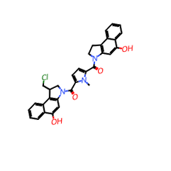 Cn1c(C(=O)N2CCc3c2cc(O)c2ccccc32)ccc1C(=O)N1CC(CCl)c2c1cc(O)c1ccccc21